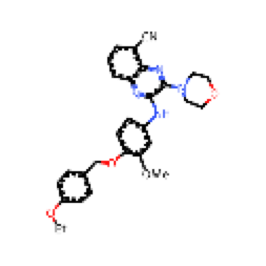 CCOc1ccc(COc2ccc(Nc3nc4cccc(C#N)c4nc3N3CCOCC3)cc2OC)cc1